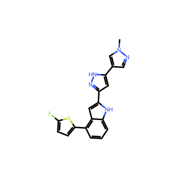 Cn1cc(-c2cc(-c3cc4c(-c5ccc(F)s5)cccc4[nH]3)n[nH]2)cn1